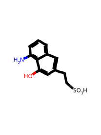 Nc1cccc2cc(CCS(=O)(=O)O)cc(O)c12